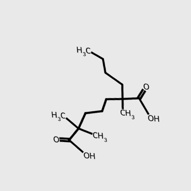 CCCCC(C)(CCCC(C)(C)C(=O)O)C(=O)O